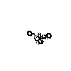 CC(C)C[C@@H]1C2C=N[C@@]3(C(=O)NCc4ccccc4)[C@H](CCN(Cc4ccccc4)[C@@H]13)C2